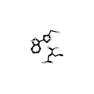 C=CC/C(=C\C(=O)O)C(=O)O.NCc1cc(-c2noc3ccccc23)cs1